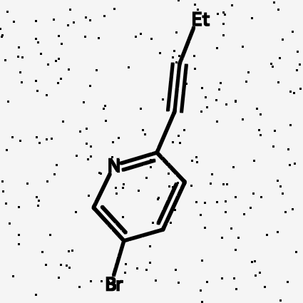 CCC#Cc1ccc(Br)cn1